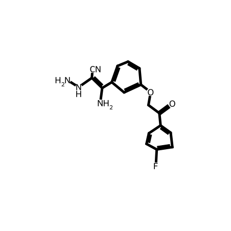 N#C/C(NN)=C(/N)c1cccc(OCC(=O)c2ccc(F)cc2)c1